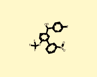 O=[N+]([O-])c1cccc(-c2cc(C(O)c3ccc(F)cc3)ccc2OC(F)(F)F)c1